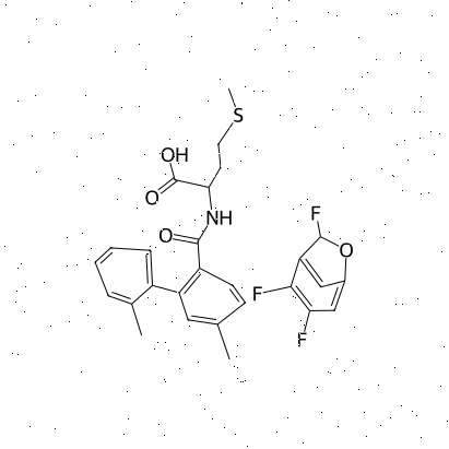 CSCCC(NC(=O)c1ccc(C)cc1-c1ccccc1C)C(=O)O.Fc1cc2cc(c1F)C(F)O2